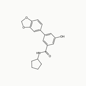 O=C(NC1CCCC1)c1cc(O)cc(-c2ccc3c(c2)OCO3)c1